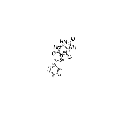 O=c1[nH]c2[nH]c(=O)n(SCc3ccccc3)c(=O)c2[nH]1